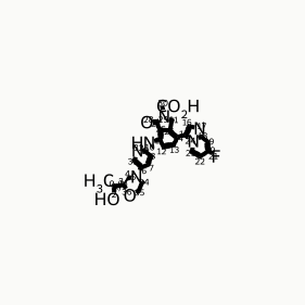 C[C@@H](O)[C@H]1CN(c2ccc(Nc3ccc(-c4cnc5cc(F)ccn45)c4c3C(=O)N(C(=O)O)C4)nc2)CCO1